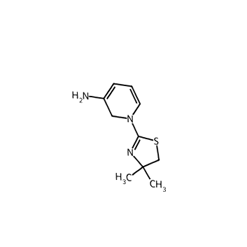 CC1(C)CSC(N2C=CC=C(N)C2)=N1